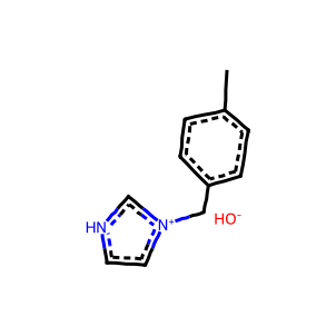 Cc1ccc(C[n+]2cc[nH]c2)cc1.[OH-]